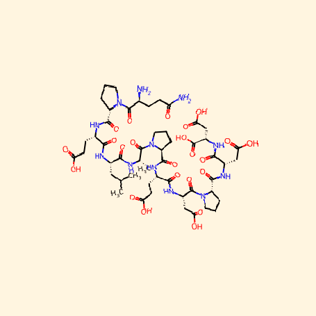 CC(C)C[C@H](NC(=O)[C@H](CCC(=O)O)NC(=O)[C@@H]1CCCN1C(=O)[C@@H](N)CCC(N)=O)C(=O)N[C@@H](C)C(=O)N1CCC[C@H]1C(=O)N[C@@H](CCC(=O)O)C(=O)N[C@@H](CC(=O)O)C(=O)N1CCC[C@H]1C(=O)N[C@@H](CC(=O)O)C(=O)N[C@@H](CC(=O)O)C(=O)O